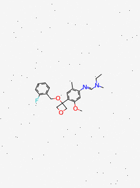 CCN(C)C=Nc1cc(OC)c(C2(OCc3ccccc3F)COC2)cc1C